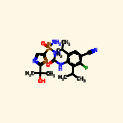 CC(C)c1cc(C#N)c(F)c(C(C)C)c1NC(=O)N[SH](N)(=O)c1cnc(C(C)(C)O)s1